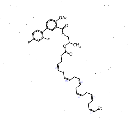 CC/C=C\C/C=C\C/C=C\C/C=C\C/C=C\C/C=C\CCC(=O)OC(C)COC(=O)c1cc(-c2ccc(F)cc2F)ccc1OC(C)=O